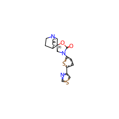 O=C1O[C@]2(CN3CCC2CC3)CN1c1ccc(-c2cscn2)s1